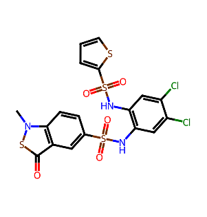 Cn1sc(=O)c2cc(S(=O)(=O)Nc3cc(Cl)c(Cl)cc3NS(=O)(=O)c3cccs3)ccc21